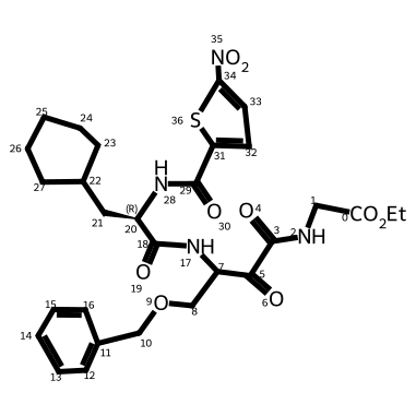 CCOC(=O)CNC(=O)C(=O)C(COCc1ccccc1)NC(=O)[C@@H](CC1CCCCC1)NC(=O)c1ccc([N+](=O)[O-])s1